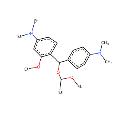 CCOc1cc(N(CC)CC)ccc1C(OC(CC)OCC)c1ccc(N(C)C)cc1